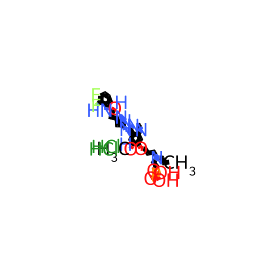 CCCN(CCCOc1cc2ncnc(Nc3cc(CC(=O)Nc4cccc(F)c4F)[nH]n3)c2cc1OC)CCOP(=O)(O)O.Cl.Cl